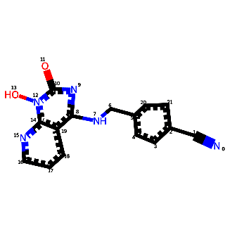 N#Cc1ccc(CNc2nc(=O)n(O)c3ncccc23)cc1